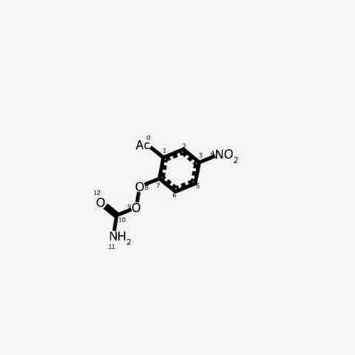 CC(=O)c1cc([N+](=O)[O-])ccc1OOC(N)=O